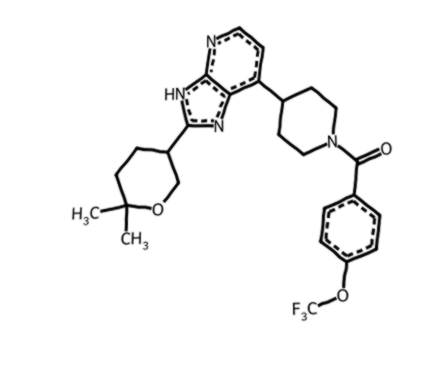 CC1(C)CCC(c2nc3c(C4CCN(C(=O)c5ccc(OC(F)(F)F)cc5)CC4)ccnc3[nH]2)CO1